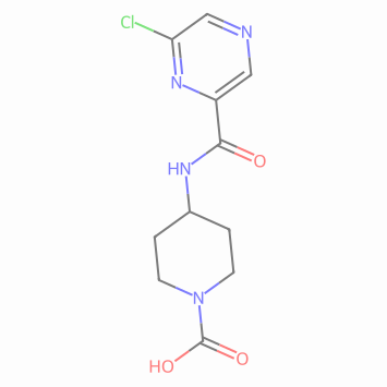 O=C(NC1CCN(C(=O)O)CC1)c1cncc(Cl)n1